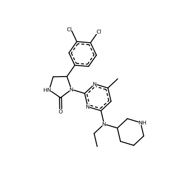 CCN(c1cc(C)nc(N2C(=O)NCC2c2ccc(Cl)c(Cl)c2)n1)C1CCCNC1